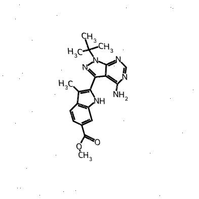 COC(=O)c1ccc2c(C)c(-c3nn(C(C)(C)C)c4ncnc(N)c34)[nH]c2c1